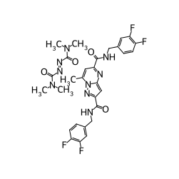 CN(C)C(=O)N=NC(=O)N(C)C.Cc1cc(C(=O)NCc2ccc(F)c(F)c2)nc2cc(C(=O)NCc3ccc(F)c(F)c3)nn12